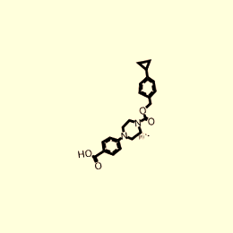 C[C@@H]1CN(c2ccc(C(=O)O)cc2)CCN1C(=O)OCc1ccc(C2CC2)cc1